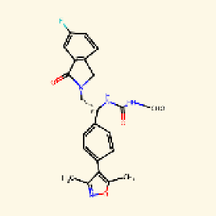 Cc1noc(C)c1-c1ccc([C@H](CN2Cc3ccc(F)cc3C2=O)NC(=O)NC=O)cc1